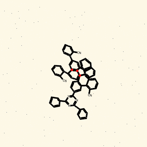 N#Cc1ccccc1-c1ccc2c(c1)c1ccccc1n2-c1ccc(-c2nc(-c3ccccc3)nc(-c3ccccc3)n2)cc1-c1c(C#N)cccc1-n1c2ccccc2c2cc(-c3ccccc3C#N)ccc21